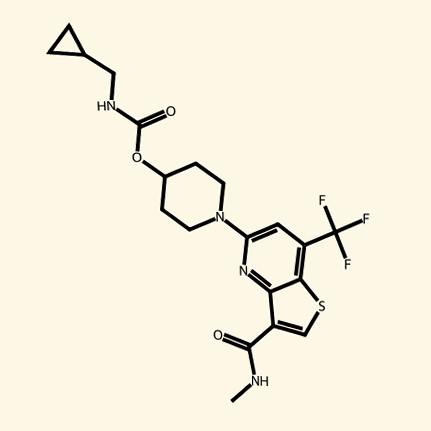 CNC(=O)c1csc2c(C(F)(F)F)cc(N3CCC(OC(=O)NCC4CC4)CC3)nc12